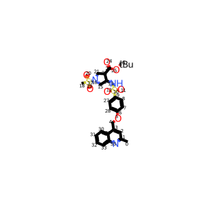 Cc1cc(COc2ccc(S(=O)(=O)NC3CN(S(C)(=O)=O)CC3C(=O)OC(C)(C)C)cc2)c2ccccc2n1